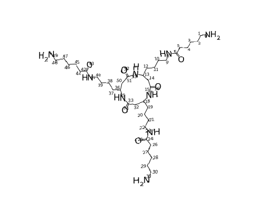 NCCCCCC(=O)NCCCCC1CC(=O)NC(CCCCNC(=O)CCCCCN)CC(=O)NC(CCCCNC(=O)CCCCCN)CC(=O)N1